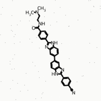 CN(C)CCNC(=O)c1ccc(-c2nc3cc(-c4ccc5[nH]c(-c6ccc(C#N)cc6)nc5c4)ccc3[nH]2)cc1